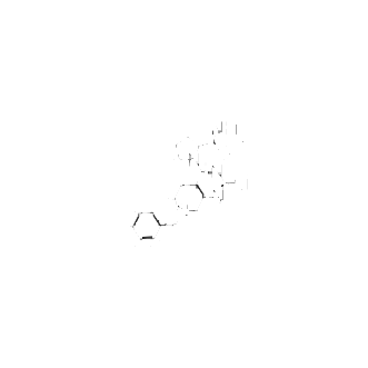 NC(=O)C1CCCN1c1nc(Cl)nc2c1CCN(Cc1ccccc1)C2